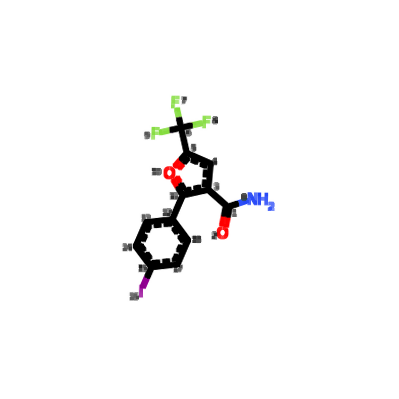 NC(=O)c1cc(C(F)(F)F)oc1-c1ccc(I)cc1